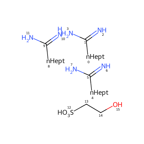 CCCCCCCC(=N)N.CCCCCCCC(=N)N.CCCCCCCC(=N)N.O=S(=O)(O)CCO